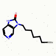 CNCCCCCCn1c(=O)[nH]c2ccncc21